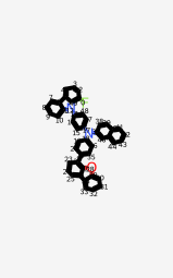 Fc1cccc2c3ccccc3n(-c3ccc(N(c4ccc(-c5cccc6c5oc5ccccc56)cc4)c4ccc5ccccc5c4)cc3)c12